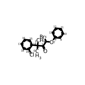 CC(C)(C(=O)C(Br)Oc1ccccc1)c1ccccc1Cl